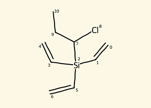 C=C[Si](C=C)(C=C)C(Cl)CC